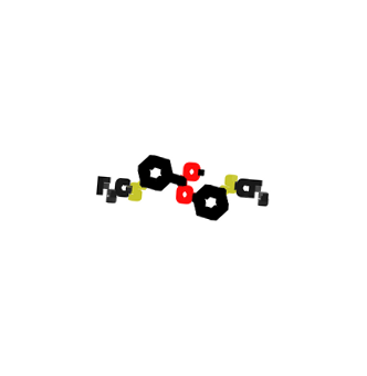 [O]C(Oc1cccc(SC(F)(F)F)c1)c1cccc(SC(F)(F)F)c1